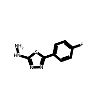 NNc1nnc(-c2ccc(F)cc2)s1